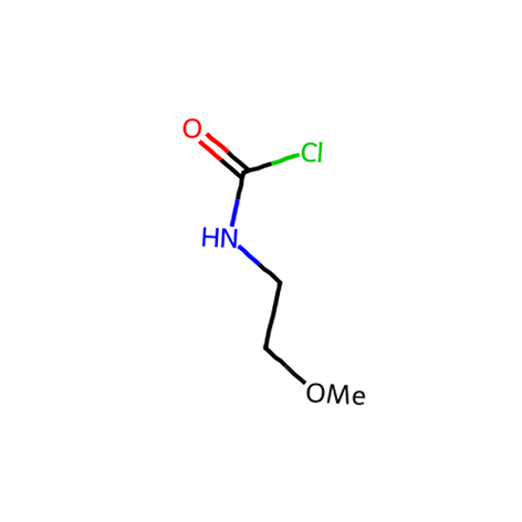 COCCNC(=O)Cl